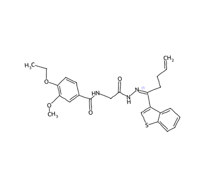 C=CCC/C(=N/NC(=O)CNC(=O)c1ccc(OCC)c(OC)c1)c1csc2ccccc12